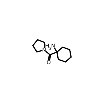 NC1(C(=O)N2CCCC2)CCCCC1